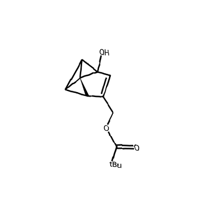 CC(C)(C)C(=O)OCC1=CC2(O)C3C4C1[C@@]432